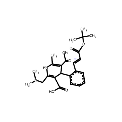 CC1=C(C(=O)O)C(c2ccccc2/C=C/C(=O)OC(C)(C)C)C(C(=O)O)=C(CN(C)C)N1